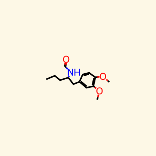 CCCC(Cc1ccc(OC)c(OC)c1)NC=O